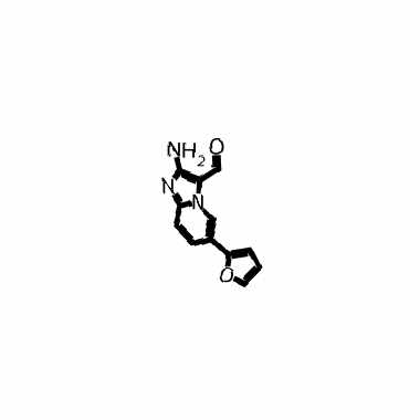 Nc1nc2ccc(-c3ccco3)cn2c1C=O